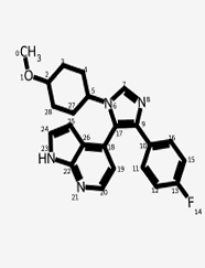 COC1CCC(n2cnc(-c3ccc(F)cc3)c2-c2ccnc3[nH]ccc23)CC1